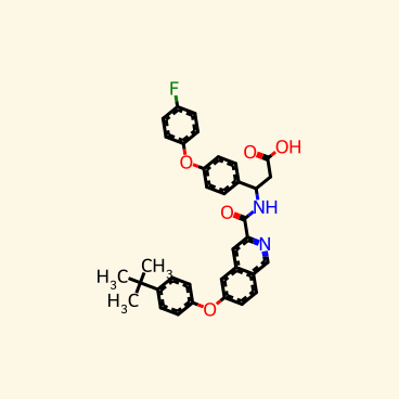 CC(C)(C)c1ccc(Oc2ccc3cnc(C(=O)NC(CC(=O)O)c4ccc(Oc5ccc(F)cc5)cc4)cc3c2)cc1